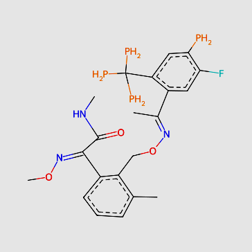 CNC(=O)/C(=N/OC)c1cccc(C)c1CO/N=C(\C)c1cc(F)c(P)cc1C(P)(P)P